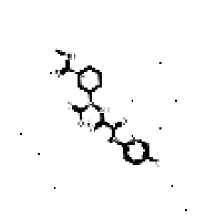 CNC(=O)[C@H]1CCCC(N(NC(=O)C(=O)Nc2ccc(Cl)cn2)C(=O)O)C1